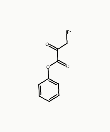 CC(C)CC(=O)C(=O)Oc1ccccc1